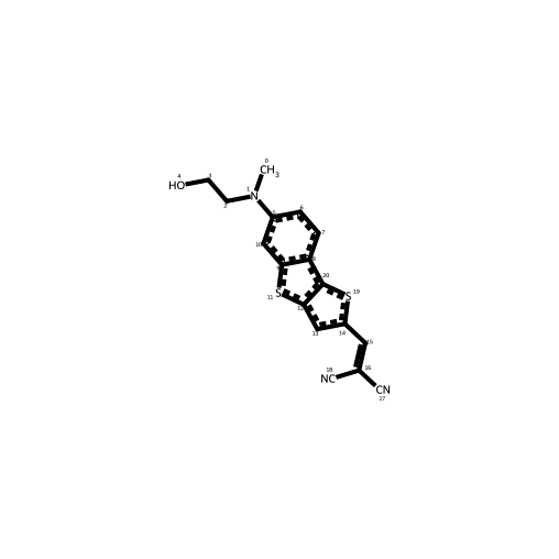 CN(CCO)c1ccc2c(c1)sc1cc(C=C(C#N)C#N)sc12